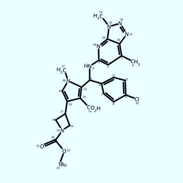 Cc1cc(NC(c2ccc(Cl)cc2)c2c(C(=O)O)c(C3CN(C(=O)OC(C)(C)C)C3)cn2C)nc2c1nnn2C